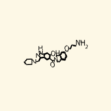 NCCCOc1ccc2c(c1)CN(C(=O)c1cc3c(CN4CCCCC4)n[nH]c3cc1O)C2